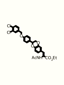 CCOC(=O)/C(=C/c1ccc2c(c1)OCC(c1ccc(OCc3ccc(Cl)c(Cl)c3)cc1)O2)NC(C)=O